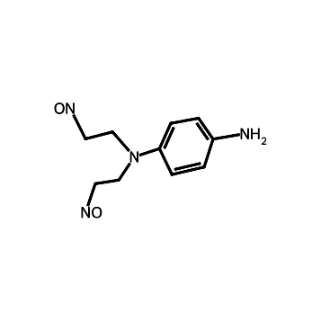 Nc1ccc(N(CCN=O)CCN=O)cc1